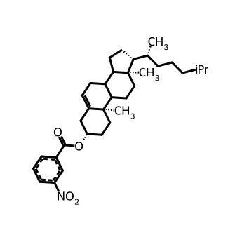 CC(C)CCC[C@@H](C)[C@H]1CCC2C3CC=C4C[C@@H](OC(=O)c5cccc([N+](=O)[O-])c5)CC[C@]4(C)C3CC[C@@]21C